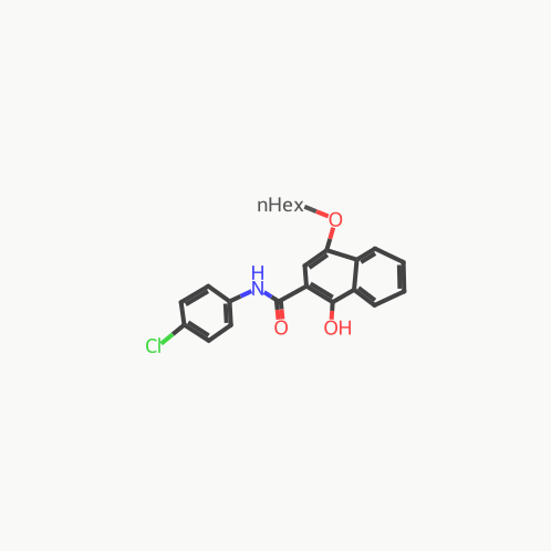 CCCCCCOc1cc(C(=O)Nc2ccc(Cl)cc2)c(O)c2ccccc12